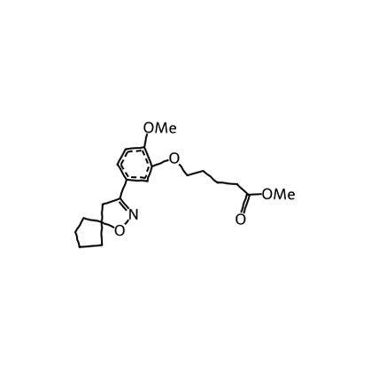 COC(=O)CCCCOc1cc(C2=NOC3(CCCC3)C2)ccc1OC